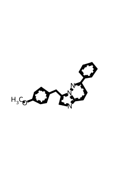 COc1ccc(Cc2cnc3ccc(-c4ccccc4)nn23)cc1